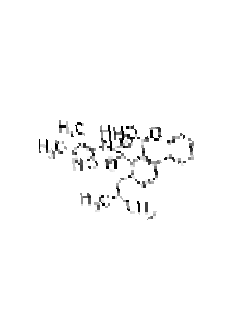 Cc1noc(NS(=O)(=O)c2c(CC(C)C)ccc(-c3ccccc3)c2C(=O)O)c1C